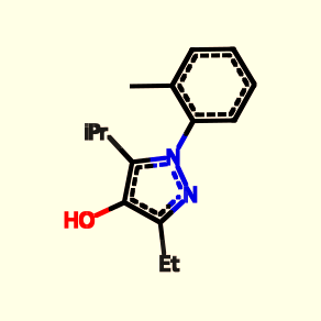 CCc1nn(-c2ccccc2C)c(C(C)C)c1O